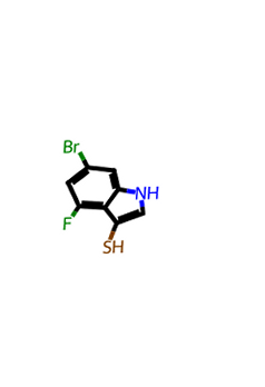 Fc1cc(Br)cc2[nH]cc(S)c12